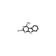 CC(C)c1nc(C(C)(C)C)c2c(n1)oc1ccccc12